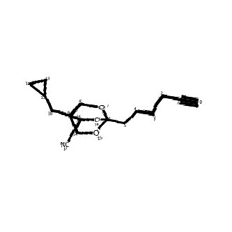 C#CCCCCC12OCC(CC3CC3)(CO1)C(C#N)O2